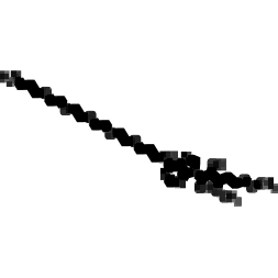 COOCCC(OC)C(O)C(O)n1cnc2c(NCCCOCCOCCOCCOCCOCCCN)ncnc21